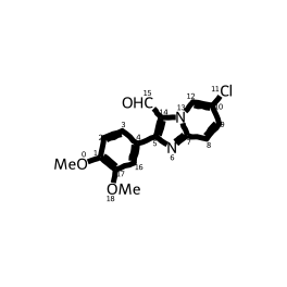 COc1ccc(-c2nc3ccc(Cl)cn3c2C=O)cc1OC